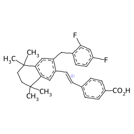 CC1(C)CCC(C)(C)c2cc(Cc3ccc(F)cc3F)c(/C=C/c3ccc(C(=O)O)cc3)cc21